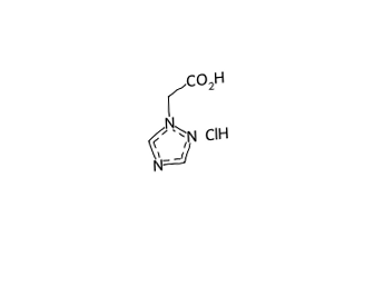 Cl.O=C(O)Cn1cncn1